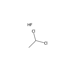 CC(Cl)Cl.F